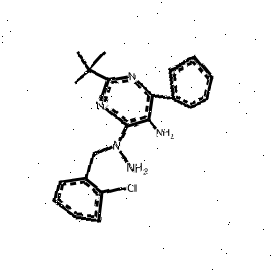 CC(C)(C)c1nc(-c2ccccc2)c(N)c(N(N)Cc2ccccc2Cl)n1